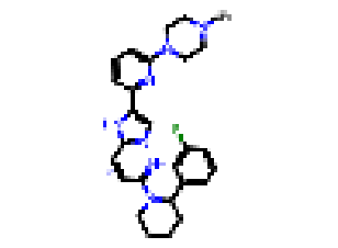 CC(C)N1CCN(c2cccc(-c3cnc(/C=C\C(=N)N4CCCCC4c4cccc(F)c4)[nH]3)n2)CC1